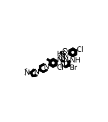 Cc1cc(Nc2ncc(Br)c(Nc3cc(Cl)ccc3NS(C)(=O)=O)n2)c(Cl)cc1N1CCC(N2CCC(N(C)C)C2)CC1